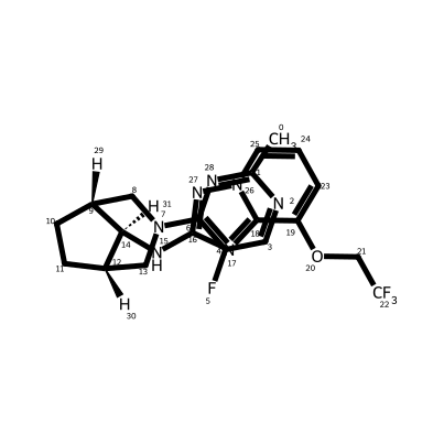 Cc1ncc(F)c(N2C[C@H]3CC[C@@H](C2)[C@@H]3Nc2nc3c(OCC(F)(F)F)cccn3n2)n1